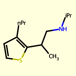 CCCc1ccsc1C(C)CNC(C)C